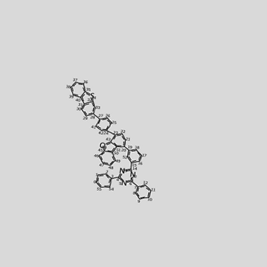 c1ccc(-c2nc(-c3ccccc3)nc(-c3cccc(-c4ccc(-c5ccc(-c6ccc7c(c6)sc6ccccc67)cc5)c5oc6ccccc6c45)c3)n2)cc1